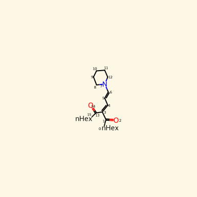 CCCCCCC(=O)C(=C/C=C/N1CCCCC1)C(=O)CCCCCC